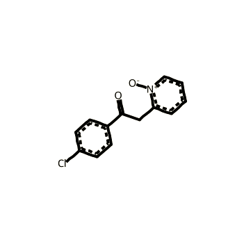 O=C(Cc1cccc[n+]1[O-])c1ccc(Cl)cc1